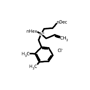 C=CC[N+](CCCCCC)(CCCCCCCCCCCC)Cc1cccc(C)c1C.[Cl-]